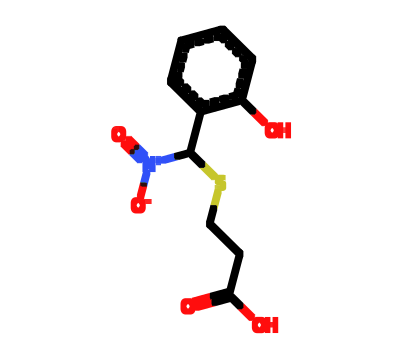 O=C(O)CCSC(c1ccccc1O)[N+](=O)[O-]